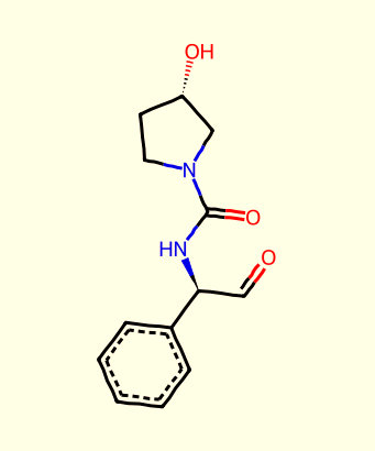 O=C[C@H](NC(=O)N1CC[C@H](O)C1)c1ccccc1